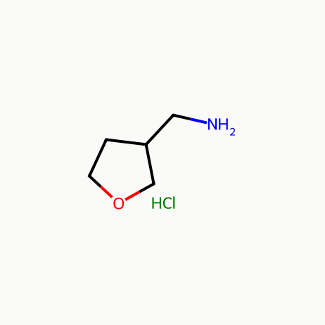 Cl.NCC1CCOC1